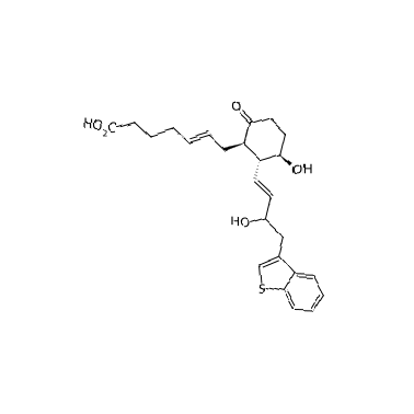 O=C(O)CCCC=CC[C@H]1C(=O)CC[C@@H](O)[C@@H]1C=CC(O)Cc1csc2ccccc12